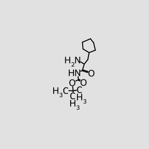 CC(C)(C)OC(=O)NC(=O)C(N)CC1CCCCC1